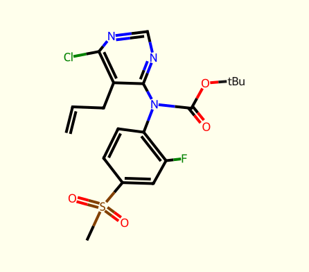 C=CCc1c(Cl)ncnc1N(C(=O)OC(C)(C)C)c1ccc(S(C)(=O)=O)cc1F